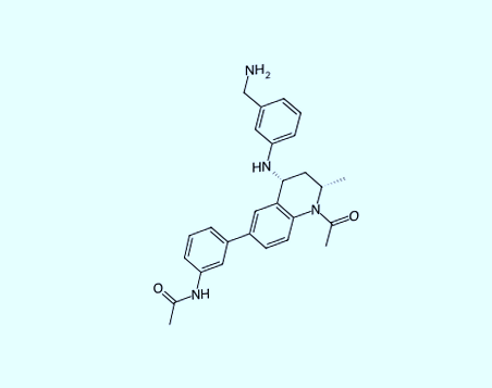 CC(=O)Nc1cccc(-c2ccc3c(c2)[C@H](Nc2cccc(CN)c2)C[C@H](C)N3C(C)=O)c1